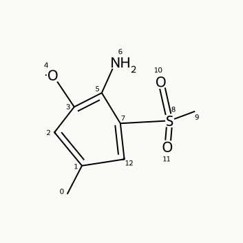 Cc1cc([O])c(N)c(S(C)(=O)=O)c1